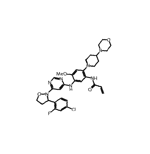 C=CC(=O)Nc1cc(Nc2cc(N3OCCC3c3ccc(Cl)cc3F)ncn2)c(OC)cc1N1CCC(N2CCOCC2)CC1